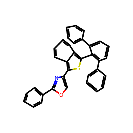 c1ccc(-c2nc(-c3sc(-c4c(-c5ccccc5)cccc4-c4ccccc4)c4ccccc34)co2)cc1